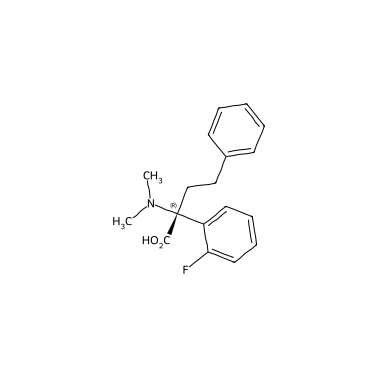 CN(C)[C@@](CCc1ccccc1)(C(=O)O)c1ccccc1F